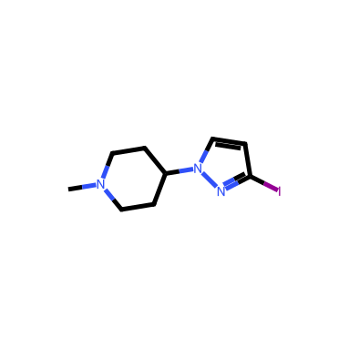 CN1CCC(n2ccc(I)n2)CC1